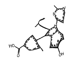 Cc1nccc(-n2c(C(C)C)c(-c3ccc(C(=O)O)cc3C)c3cc(O)ccc32)n1